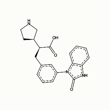 O=C(O)[C@@H](Cc1cccc(-n2c(=O)[nH]c3ccccc32)c1)[C@H]1CCNC1